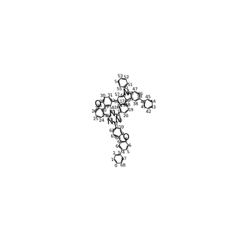 c1ccc(-c2ccc3oc4cc(-c5nc(-c6ccccc6)nc(-c6cccc7oc8ccc(-c9ccc%10c%11cc(-c%12ccccc%12)ccc%11n(-c%11ccccc%11)c%10c9)cc8c67)n5)ccc4c3c2)cc1